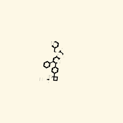 O=C(O)NC1(c2ccc(-c3nc4c(cc3-c3ccccc3)N(Cc3cccnc3)C(=O)CO4)cc2)CCC1